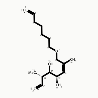 C=CCCCCCOC/C(C)=C\[C@@H](C)[C@H](O)[C@H](C=C)OC